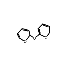 C1=CCOC(OC2C=CC=CO2)=C1